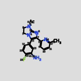 CC(=O)N1CCn2c1nc(-c1cccc(C)n1)c2-c1ccc(F)c(N)c1